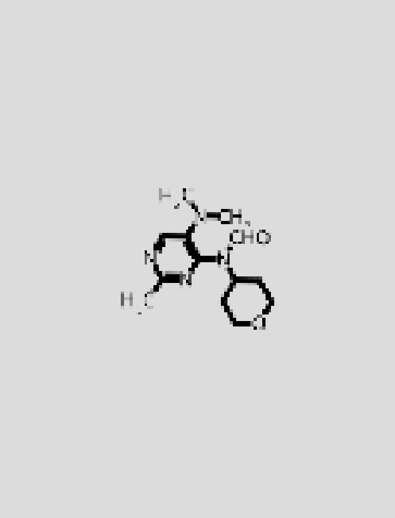 Cc1ncc(N(C)C)c(N(C=O)C2CCOCC2)n1